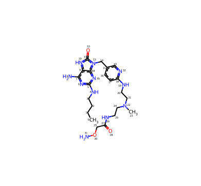 CCCCNc1nc(N)c2[nH]c(=O)n(Cc3ccc(NCCN(C)CCNC(=O)CON)nc3)c2n1